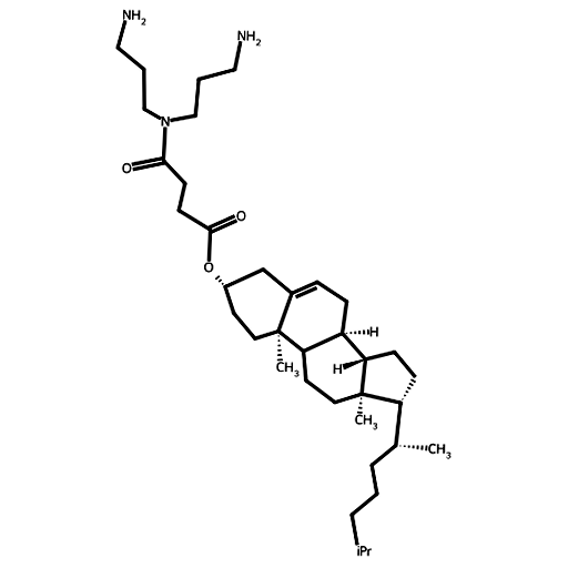 CC(C)CCC[C@@H](C)[C@H]1CC[C@H]2[C@@H]3CC=C4C[C@@H](OC(=O)CCC(=O)N(CCCN)CCCN)CC[C@]4(C)C3CC[C@]12C